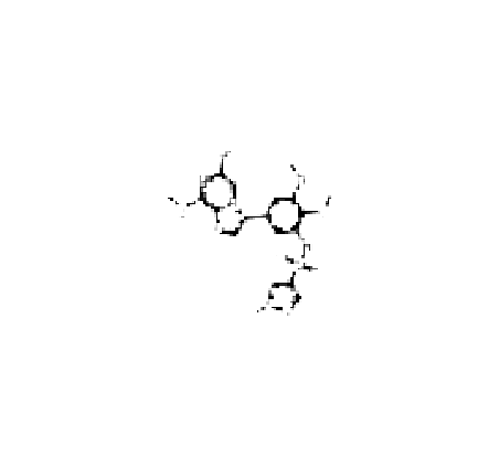 CNc1nc(Br)cn2c(-c3cc(NS(=O)(=O)c4cnn(C)c4)c(OC)c(OC)c3)cnc12